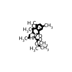 CCC[C@H]1N(NC(=O)OC(C)(C)C)C(=O)c2cc(C)cc(C)c2C1(C)C